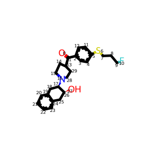 O=C(c1ccc(SCCCF)cc1)C1CCN([C@@H]2Cc3ccccc3C[C@H]2O)CC1